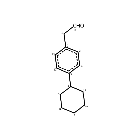 O=CCc1ccc(C2CCCCC2)cc1